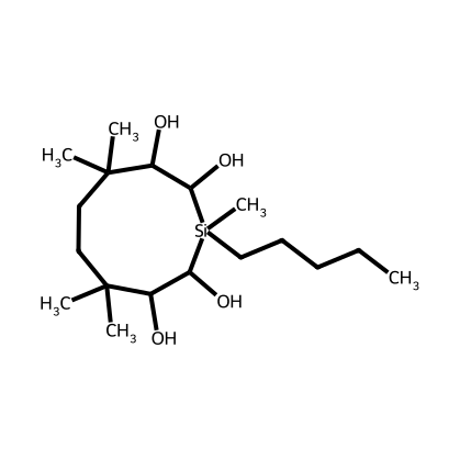 CCCCC[Si]1(C)C(O)C(O)C(C)(C)CCC(C)(C)C(O)C1O